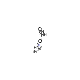 CC(C)C[C@@H]1CS/C(=N\c2ccc(CCNc3nc4ccccc4s3)cc2)N1